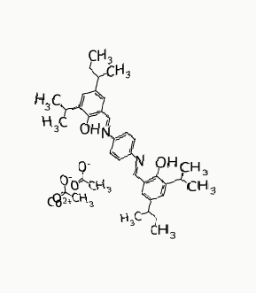 CC(=O)[O-].CC(=O)[O-].CCC(C)c1cc(C=Nc2ccc(N=Cc3cc(C(C)CC)cc(C(C)C)c3O)cc2)c(O)c(C(C)C)c1.[Co+2]